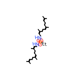 CCP(=O)(ONCC=C(C)CCC=C(C)CCC=C(C)C)ONCC=C(C)CCC=C(C)CCC=C(C)C